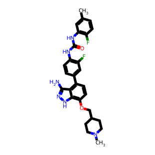 Cc1ccc(F)c(NC(=O)Nc2ccc(-c3ccc(OCC4CCN(C)CC4)c4[nH]nc(N)c34)cc2F)c1